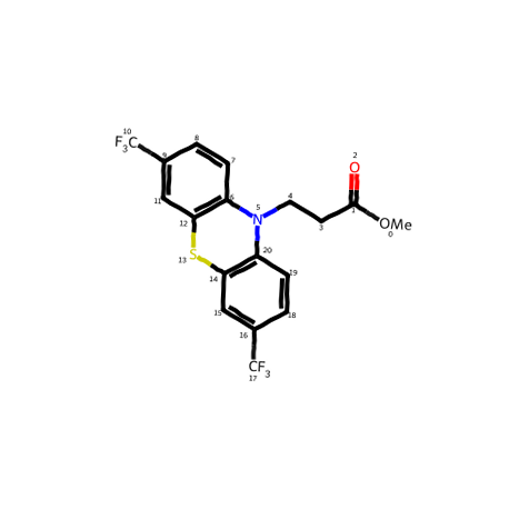 COC(=O)CCN1c2ccc(C(F)(F)F)cc2Sc2cc(C(F)(F)F)ccc21